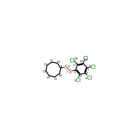 Clc1c(Cl)c(Cl)c(SSC2CCCCCCC2)c(Cl)c1Cl